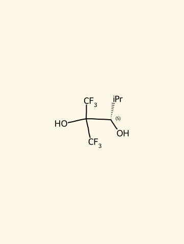 CC(C)[C@H](O)C(O)(C(F)(F)F)C(F)(F)F